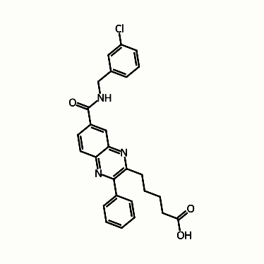 O=C(O)CCCCc1nc2cc(C(=O)NCc3cccc(Cl)c3)ccc2nc1-c1ccccc1